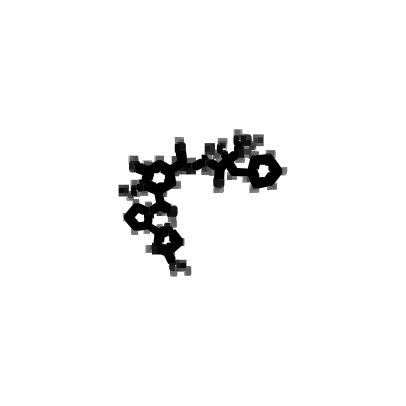 Cc1csc([C@H]2CCCN2C(=O)c2cc(C(=O)NNC(=O)[C@@](C)(Cc3ccccc3)NC(=O)O)cc(=O)n2C)n1